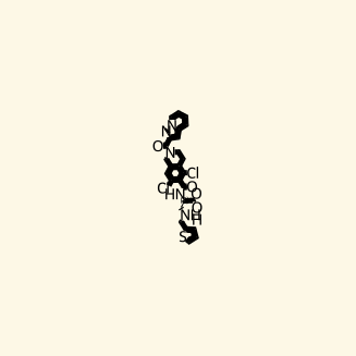 O=C(N[C@@H](CNCc1cccs1)C(=O)O)c1c(Cl)cc2c(c1Cl)CCN(C(=O)c1cc3ccccn3n1)C2